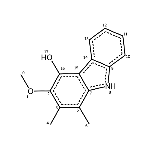 COc1c(C)c(C)c2[nH]c3ccccc3c2c1O